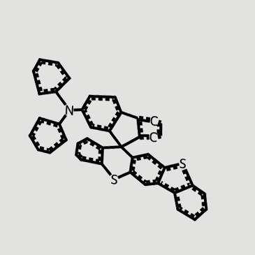 c1ccc(N(c2ccccc2)c2ccc3c(c2)C2(c4ccccc4Sc4cc5c(cc42)sc2ccccc25)c2ccccc2-3)cc1